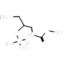 COCC(CNC(=O)OC(C)(C)C)O[Si](C)(C)C(C)(C)C